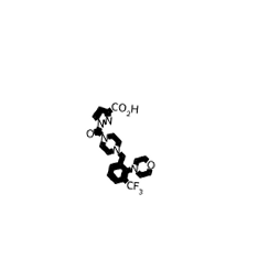 O=C(O)c1ccn(C(=O)N2CCN(Cc3cccc(C(F)(F)F)c3N3CCOCC3)CC2)n1